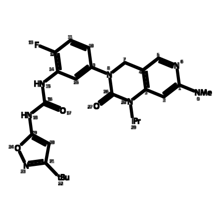 CNc1cc2c(cn1)CN(c1ccc(F)c(NC(=O)Nc3cc(C(C)(C)C)no3)c1)C(=O)N2C(C)C